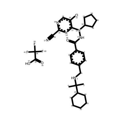 CC(C)(NCc1ccc(C(=O)NN(c2nc(C#N)ncc2Cl)C2CCCC2)cc1)C1CCCCC1.O=C(O)C(F)(F)F